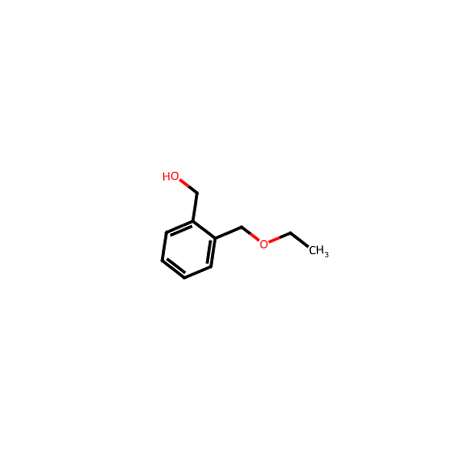 CCOCc1ccccc1CO